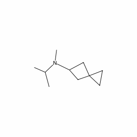 CC(C)N(C)C1CC2(CC2)C1